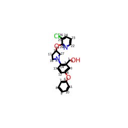 OCc1cc(Oc2ccccc2)ccc1N1CCC(Oc2ncccc2Cl)C1